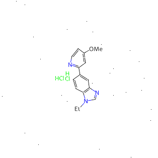 CCn1cnc2cc(-c3cc(OC)ccn3)ccc21.Cl.Cl